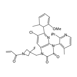 C=CC(=O)N1CC(F)(Cn2c(=O)c(=O)n(-c3c(C)ccnc3C(C)C)c3nc(C4C(OC)=CC=CC4C)c(Cl)cc32)C1